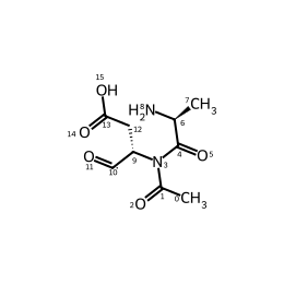 CC(=O)N(C(=O)[C@H](C)N)[C@H]([C]=O)CC(=O)O